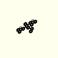 c1ccc2c(c1)Oc1ccc(-c3c4ccccc4c(-c4ccc5c(c4)Oc4cccc6cccc-5c46)c4ccc(-c5cccc6ccccc56)cc34)c3cccc-2c13